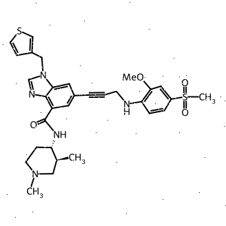 COc1cc(S(C)(=O)=O)ccc1NCC#Cc1cc(C(=O)N[C@H]2CCN(C)C[C@@H]2C)c2ncn(Cc3ccsc3)c2c1